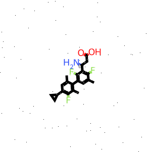 Cc1cc(-c2c(C)cc(C3CC3)c(F)c2C)c(F)c([C@@H](N)CC(=O)O)c1F